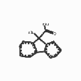 [CH2]CCCC1(C(=O)CCCC)c2ccccc2-c2ccccc21